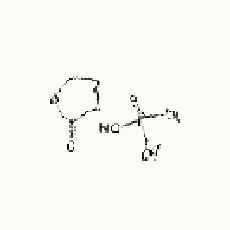 O=C1CCCO1.O=P(O)(O)O